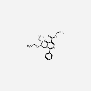 CCOC(=O)c1cnc(-c2ccccc2)n(CC(OCC)OCC)c1=O